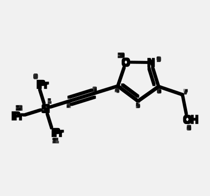 CC(C)[Si](C#Cc1cc(CO)no1)(C(C)C)C(C)C